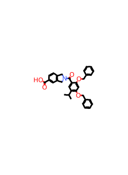 CC(C)c1cc(C(=O)N2Cc3ccc(C(=O)O)cc3C2)c(OCc2ccccc2)cc1OCc1ccccc1